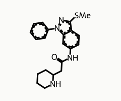 CSc1nn(-c2ccccc2)c2cc(NC(=O)CC3CCCCN3)ccc12